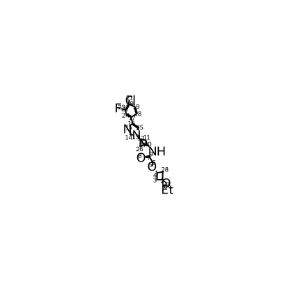 CCO[C@H]1C[C@@H](OCC(=O)NC23CC(n4cnc(-c5ccc(Cl)c(F)c5)c4)(C2)C3)C1